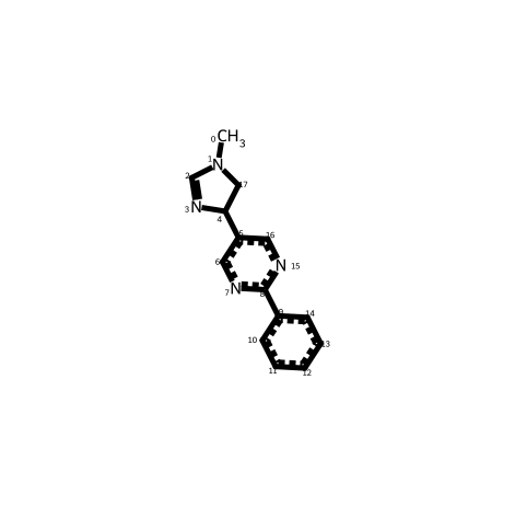 CN1C=NC(c2cnc(-c3ccccc3)nc2)C1